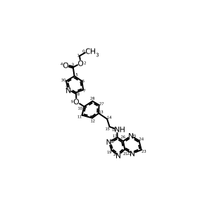 CCOC(=O)c1ccc(Oc2ccc(CCNc3ncnc4nccnc34)cc2)nc1